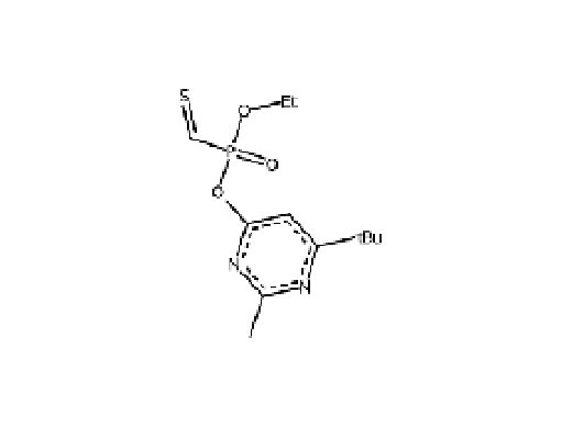 CCOP(=O)(C=S)Oc1cc(C(C)(C)C)nc(C)n1